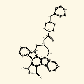 O=C1NC(=O)c2c1c1c3ccccc3n3c1c1c2c2ccccc2n1CC(OC(=O)N1CCN(Cc2ccccc2)CC1)CC3